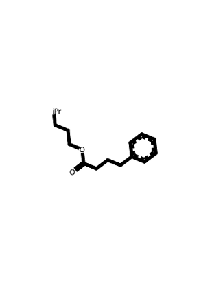 CC(C)CCCOC(=O)CCCc1ccccc1